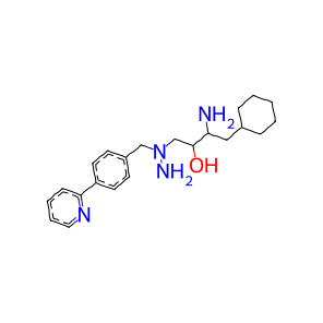 NC(CC1CCCCC1)C(O)CN(N)Cc1ccc(-c2ccccn2)cc1